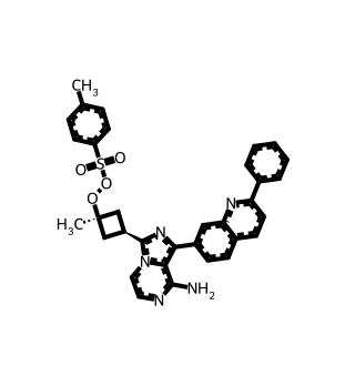 Cc1ccc(S(=O)(=O)OO[C@]2(C)C[C@H](c3nc(-c4ccc5ccc(-c6ccccc6)nc5c4)c4c(N)nccn43)C2)cc1